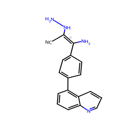 N#C/C(NN)=C(/N)c1ccc(-c2cccc3ncccc23)cc1